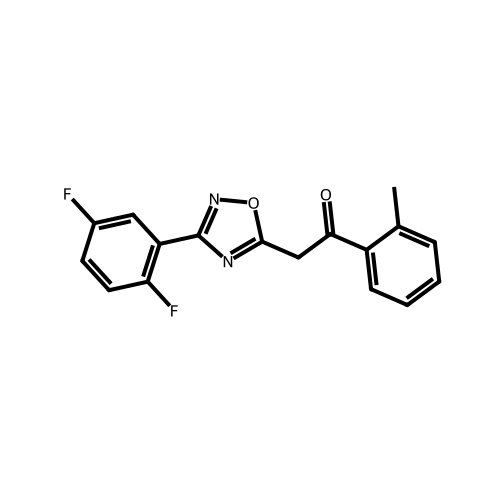 Cc1ccccc1C(=O)Cc1nc(-c2cc(F)ccc2F)no1